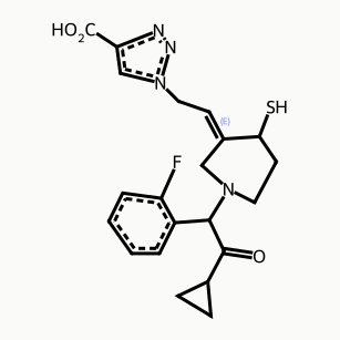 O=C(O)c1cn(C/C=C2\CN(C(C(=O)C3CC3)c3ccccc3F)CCC2S)nn1